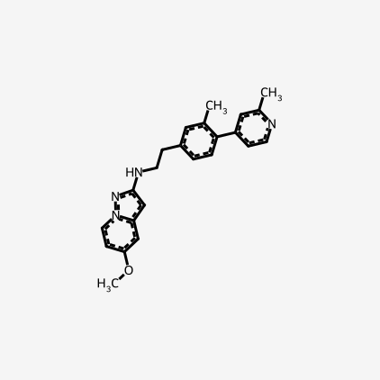 COc1ccn2nc(NCCc3ccc(-c4ccnc(C)c4)c(C)c3)cc2c1